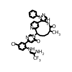 CC1CCCC(n2cnc(-c3cc(Cl)ccc3N/C=C(\N)C(F)(F)F)cc2=O)c2cc(ccn2)-c2c(cnn2-c2ccccc2)NC1=O